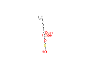 CCCCCCCCCCCCCCCOCCSCCCO.O=P(O)(O)O